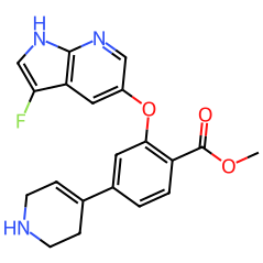 COC(=O)c1ccc(C2=CCNCC2)cc1Oc1cnc2[nH]cc(F)c2c1